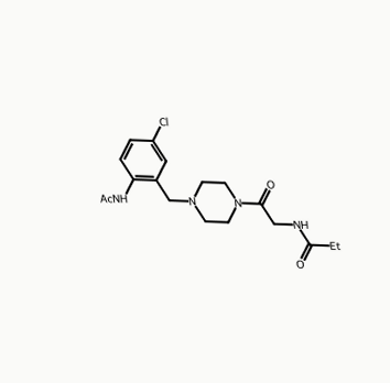 CCC(=O)NCC(=O)N1CCN(Cc2cc(Cl)ccc2NC(C)=O)CC1